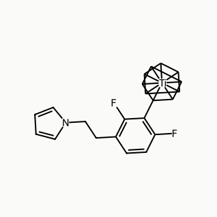 Fc1ccc(CCn2cccc2)c(F)c1[C]12[CH]3[CH]4[CH]5[CH]1[Ti]45321678[CH]2[CH]1[CH]6[CH]7[CH]28